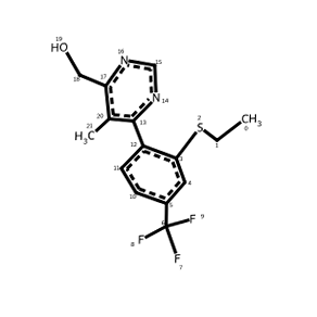 CCSc1cc(C(F)(F)F)ccc1-c1ncnc(CO)c1C